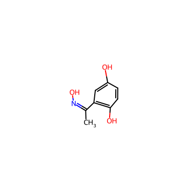 C/C(=N/O)c1cc(O)ccc1O